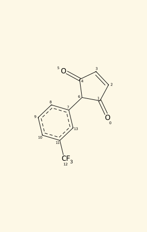 O=C1C=CC(=O)C1c1cccc(C(F)(F)F)c1